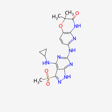 CC1(C)Oc2ccc(Nc3nc(NC4CC4)c4c(S(C)(=O)=O)n[nH]c4n3)nc2NC1=O